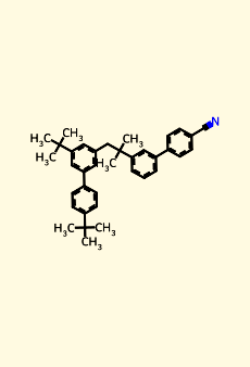 CC(C)(C)c1ccc(-c2cc(CC(C)(C)c3cccc(-c4ccc(C#N)cc4)c3)cc(C(C)(C)C)c2)cc1